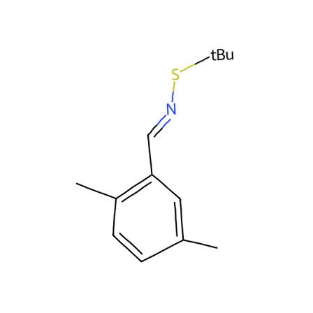 Cc1ccc(C)c(/C=N/SC(C)(C)C)c1